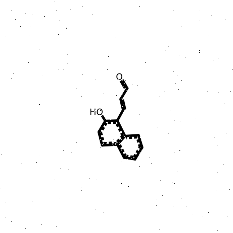 O=CC=Cc1c(O)ccc2ccccc12